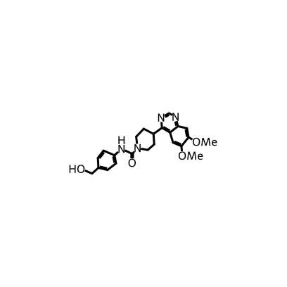 COc1cc2ncnc(C3CCN(C(=O)Nc4ccc(CO)cc4)CC3)c2cc1OC